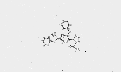 NC(=O)C1CCCN1C(=O)[C@H](Cc1ccccc1)NC(=O)[C@@H](N)Cc1ccccc1